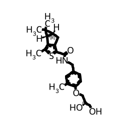 Cc1cc(CNC(=O)c2sc(C)c3c2C[C@@H]2[C@H]3C2(C)C)ccc1OC[C@H](O)CO